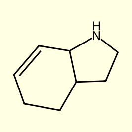 C1=CC2NCCC2CC1